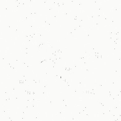 CC1CCOc2cc(C(N)=O)ccc21.C[C@H](N)C(=O)N[C@@H](CCCNC(=N)N)C(=O)Oc1ccccc1C(=O)[C@@H]1CCCN1